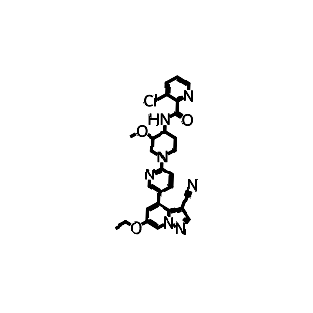 CCOc1cc(-c2ccc(N3CCC(NC(=O)c4ncccc4Cl)C(OC)C3)nc2)c2c(C#N)cnn2c1